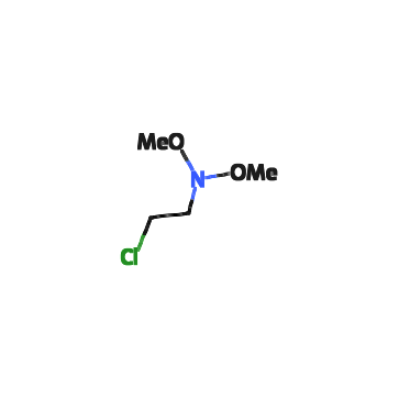 CON(CCCl)OC